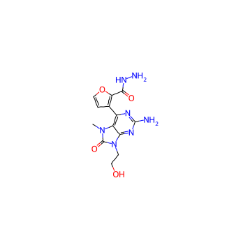 Cn1c(=O)n(CCO)c2nc(N)nc(-c3ccoc3C(=O)NN)c21